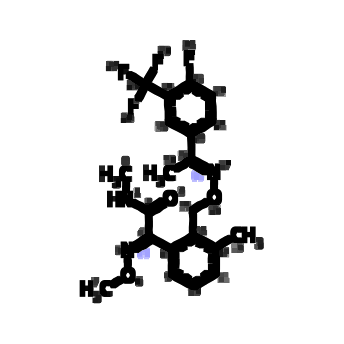 CNC(=O)/C(=N/OC)c1cccc(C)c1CO/N=C(\C)c1ccc(F)c(C(F)(F)F)c1